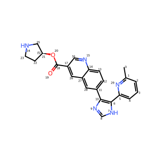 Cc1cccc(-c2[nH]cnc2-c2ccc3ncc(C(=O)O[C@H]4CCNC4)cc3c2)n1